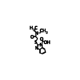 CCN(CC)C(=O)CSc1nc2ccccc2n1C(=O)O